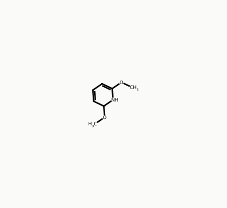 CO[C]1C=CC=C(OC)N1